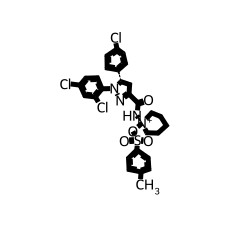 Cc1ccc(S(=O)(=O)O[N+]2(NC(=O)C3=NN(c4ccc(Cl)cc4Cl)[C@H](c4ccc(Cl)cc4)C3)CCCCC2)cc1